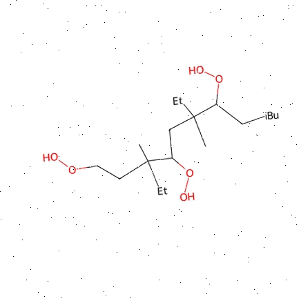 CCC(C)CC(OO)C(C)(CC)CC(OO)C(C)(CC)CCOO